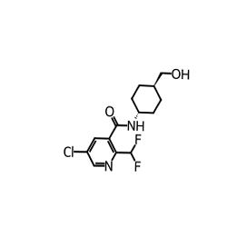 O=C(N[C@H]1CC[C@H](CO)CC1)c1cc(Cl)cnc1C(F)F